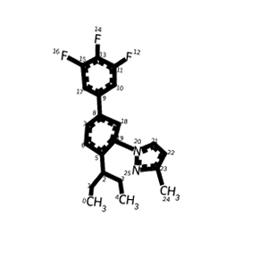 CCC(CC)c1ccc(-c2cc(F)c(F)c(F)c2)cc1-n1ccc(C)n1